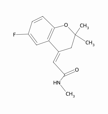 CNC(=O)C=C1CC(C)(C)Oc2ccc(F)cc21